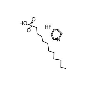 CCCCCCCCCCCS(=O)(=O)O.F.c1ccncc1